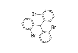 Brc1ccccc1[C](c1ccccc1Br)c1ccccc1Br